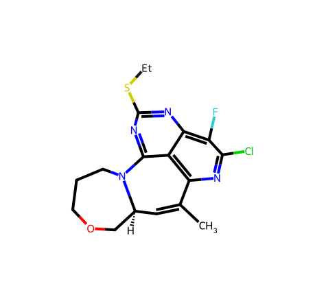 CCSc1nc2c3c(nc(Cl)c(F)c3n1)C(C)=C[C@H]1COCCCN21